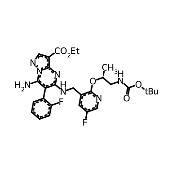 CCOC(=O)c1cnn2c(N)c(-c3ccccc3F)c(NCc3cc(F)cnc3O[C@@H](C)CNC(=O)OC(C)(C)C)nc12